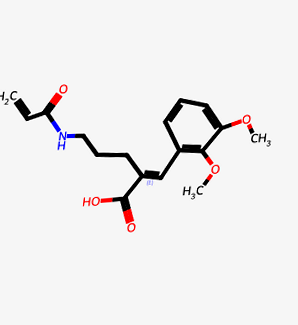 C=CC(=O)NCCC/C(=C\c1cccc(OC)c1OC)C(=O)O